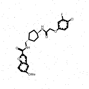 COc1ccc2oc(C(=O)NC[C@H]3CC[C@H](NC(=O)COc4ccc(Cl)c(F)c4)CC3)cc2c1